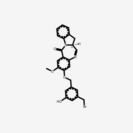 COc1cc2c(cc1OCc1cc(O)cc(CBr)c1)N=C[C@@H]1Cc3ccccc3N1C2=O